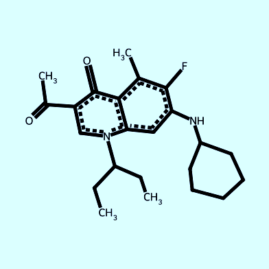 CCC(CC)n1cc(C(C)=O)c(=O)c2c(C)c(F)c(NC3CCCCC3)cc21